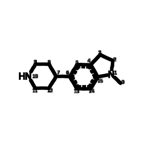 CN1CCc2cc(C3CCNCC3)ccc21